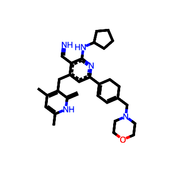 C=C1NC(C)=CC(C)=C1Cc1cc(C2=CC=C(CN3CCOCC3)CC2)nc(NC2CCCC2)c1C=N